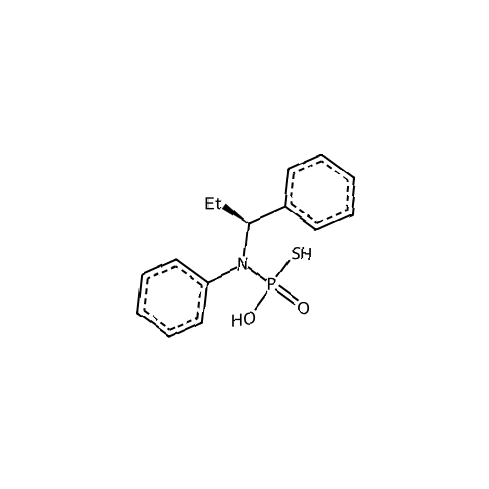 CC[C@@H](c1ccccc1)N(c1ccccc1)P(=O)(O)S